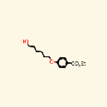 CCOC(=O)c1ccc(OCCCCCCO)cc1